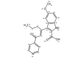 CCC/C(=C\C(=O)c1ccncc1)c1c(C(=O)O)[nH]c2ccc(OC)cc12